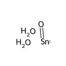 O.O.[O]=[Sn]